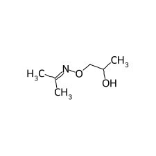 CC(C)=NOCC(C)O